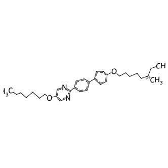 CCCCCCCOc1cnc(-c2ccc(-c3ccc(OCCCCC[C@@H](C)CC)cc3)cc2)nc1